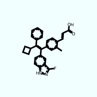 Cc1cc(/C(=C(\c2ccccc2)C2CCC2)c2ccc3[nH]nc(F)c3c2)ccc1/C=C/C(=O)O